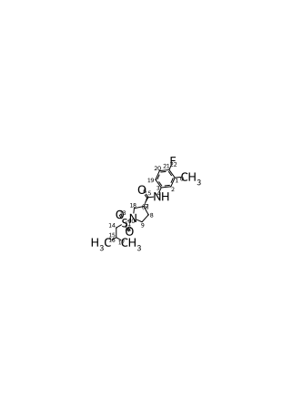 Cc1cc(NC(=O)[C@H]2CCN(S(=O)(=O)CC(C)C)C2)ccc1F